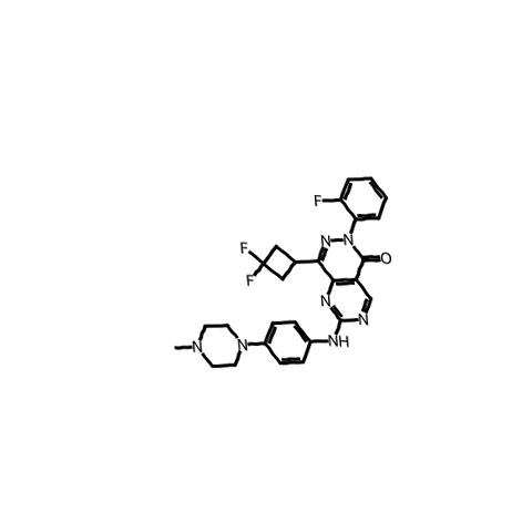 CN1CCN(c2ccc(Nc3ncc4c(=O)n(-c5ccccc5F)nc(C5CC(F)(F)C5)c4n3)cc2)CC1